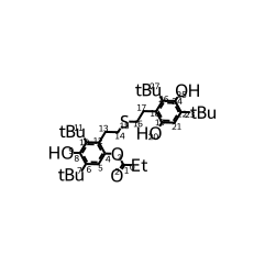 CCC(=O)Oc1cc(C(C)(C)C)c(O)c(C(C)(C)C)c1CCSCCc1c(O)cc(C(C)(C)C)c(O)c1C(C)(C)C